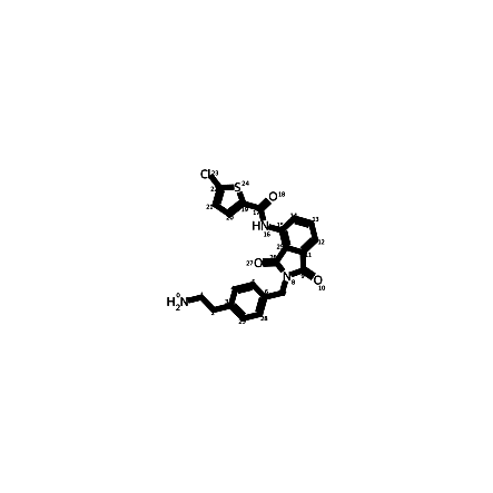 NCCc1ccc(CN2C(=O)c3cccc(NC(=O)c4ccc(Cl)s4)c3C2=O)cc1